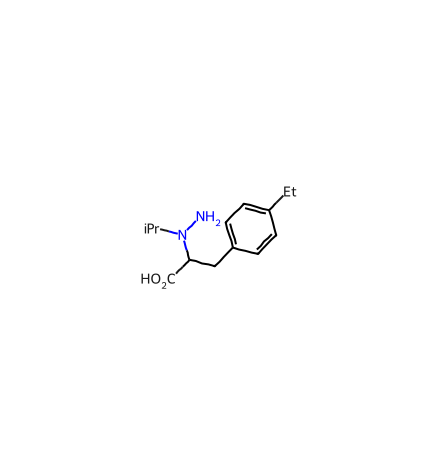 CCc1ccc(CC(C(=O)O)N(N)C(C)C)cc1